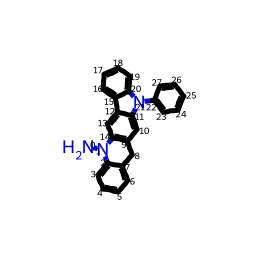 NN1c2ccccc2Cc2cc3c(cc21)c1ccccc1n3-c1ccccc1